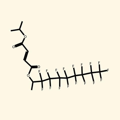 CC(C)OC(=O)C=CC(=O)OC(C)C(F)(F)C(F)(F)C(F)(F)C(F)(F)C(F)(F)C(F)(F)C(F)(F)C(F)(F)F